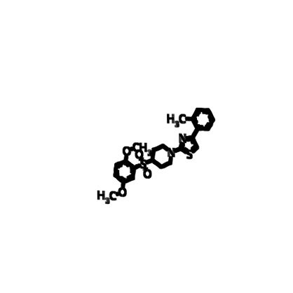 COc1ccc(OC)c(S(=O)(=O)C2CCN(c3nc(-c4ccccc4C)cs3)CC2)c1